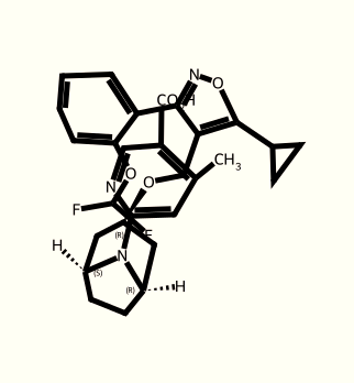 Cc1cc(N2[C@@H]3CC[C@H]2C[C@@H](OCc2c(-c4ccccc4OC(F)F)noc2C2CC2)C3)ncc1C(=O)O